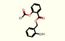 CCC(=O)Oc1ccccc1C(=O)OCc1ccccc1OC(C)=O